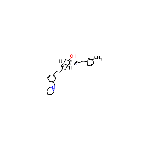 Cc1cccc(CC/C=C/[C@@H]2[C@H]3CC(CCc4cccc(CN5CCCCC5)c4)=C[C@H]3C[C@H]2O)c1